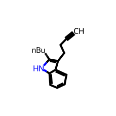 C#CCCc1c(CCCC)[nH]c2ccccc12